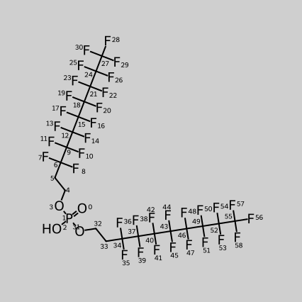 O=P(O)(OCCC(F)(F)C(F)(F)C(F)(F)C(F)(F)C(F)(F)C(F)(F)C(F)(F)C(F)(F)F)OCCC(F)(F)C(F)(F)C(F)(F)C(F)(F)C(F)(F)C(F)(F)C(F)(F)C(F)(F)F